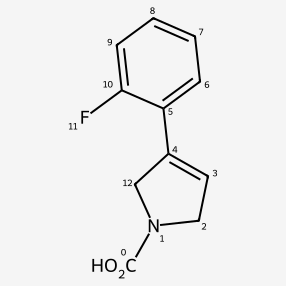 O=C(O)N1CC=C(c2ccccc2F)C1